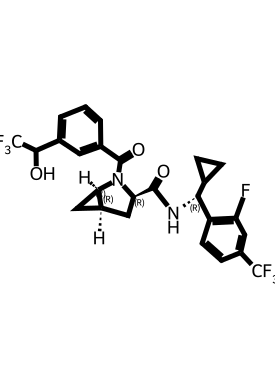 O=C(N[C@@H](c1ccc(C(F)(F)F)cc1F)C1CC1)[C@H]1C[C@H]2C[C@H]2N1C(=O)c1cccc(C(O)C(F)(F)F)c1